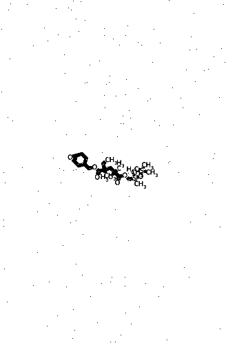 CCC(C)(CC(C)(C)C(=O)OC[Si](C)(C)O[Si](C)(C)C)C(=O)OCC1CCC2OC2C1